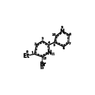 CCc1ccc(-c2cccnc2)nc1Br